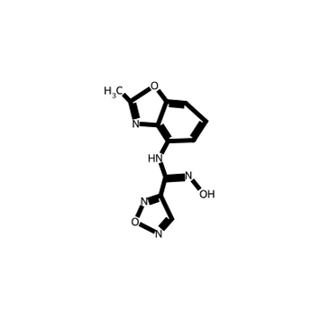 Cc1nc2c(NC(=NO)c3cnon3)cccc2o1